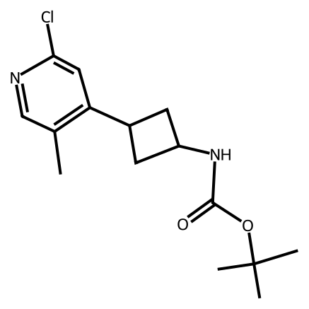 Cc1cnc(Cl)cc1C1CC(NC(=O)OC(C)(C)C)C1